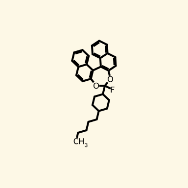 CCCCCC1CCC(C2(F)Oc3ccc4ccccc4c3-c3c(ccc4ccccc34)O2)CC1